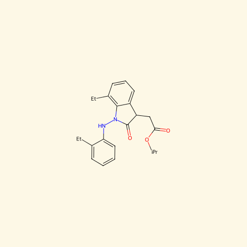 CCc1ccccc1NN1C(=O)C(CC(=O)OC(C)C)c2cccc(CC)c21